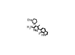 CCN1CCC[C@H](c2c(N)nnc(-c3ccc4cc[nH]c4c3F)c2C)C1